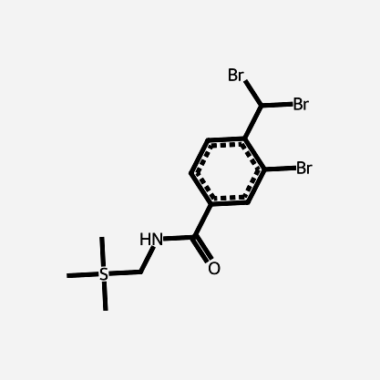 CS(C)(C)CNC(=O)c1ccc(C(Br)Br)c(Br)c1